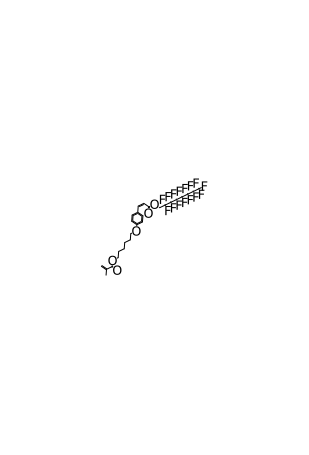 C=C(C)C(=O)OCCCCCCOc1ccc(/C=C\C(=O)OCC(F)(F)C(F)(F)C(F)(F)C(F)(F)C(F)(F)C(F)(F)C(F)(F)F)cc1